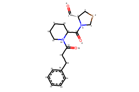 O=C[C@@H]1CSCN1C(=O)C1CCCCN1C(=O)CCc1ccccc1